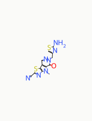 Cn1c2nc(C#N)sc2c2cnn(Cc3csc(N)n3)c(=O)c21